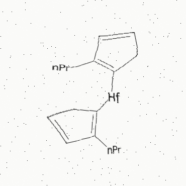 CCCC1=[C]([Hf][C]2=C(CCC)C=CC2)CC=C1